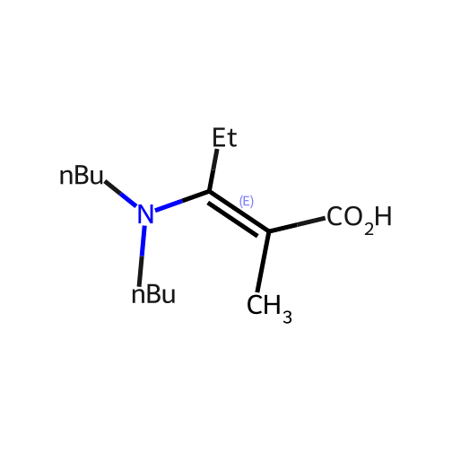 CCCCN(CCCC)/C(CC)=C(\C)C(=O)O